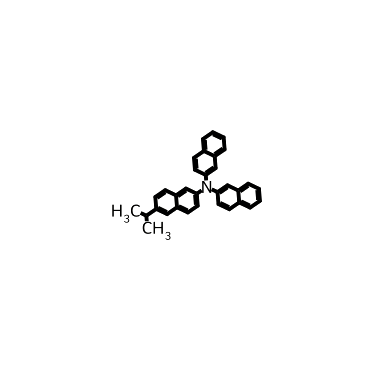 CC(C)c1ccc2cc(N(c3ccc4ccccc4c3)c3ccc4ccccc4c3)ccc2c1